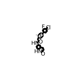 C[C@@H]1CN(c2ccc(Cl)c(F)c2)CCN1CC(=O)Nc1ccc2[nH]c(=O)ccc2c1